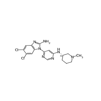 CN1CCC[C@H](Nc2cc(-n3c(N)nc4cc(Cl)c(Cl)cc43)ncn2)C1